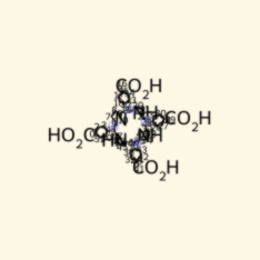 O=C(O)c1ccc(/C2=C3\C=CC(=N3)/C(c3ccc(C(=O)O)cc3)=c3/cc/c([nH]3)=C(\c3ccc(C(=O)O)cc3)C3C=C/C(=C(\c4ccc(C(=O)O)cc4)c4ccc2[nH]4)N3)cc1